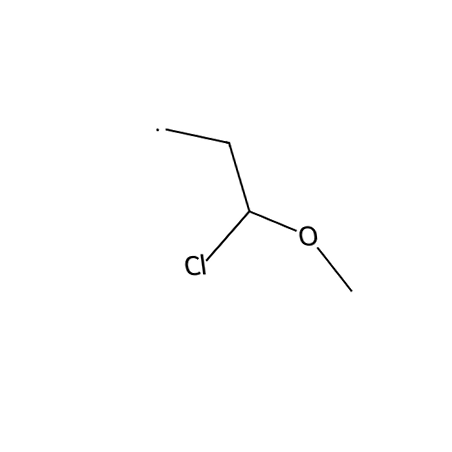 [CH2]CC(Cl)OC